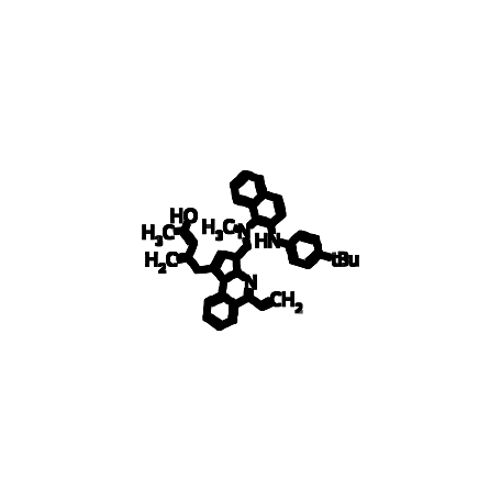 C=CC1=NC2C(CN(C)c3c(Nc4ccc(C(C)(C)C)cc4)ccc4ccccc34)C=C(CC(=C)/C=C(\C)O)C2c2ccccc21